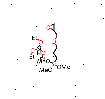 CCO[SiH](OCC)OCC.CO[Si](CCCOCC1CO1)(OC)OC